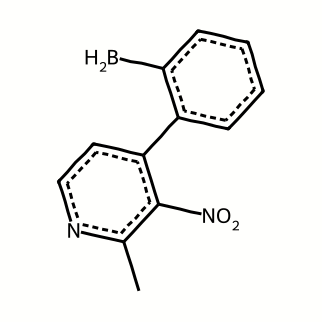 Bc1ccccc1-c1ccnc(C)c1[N+](=O)[O-]